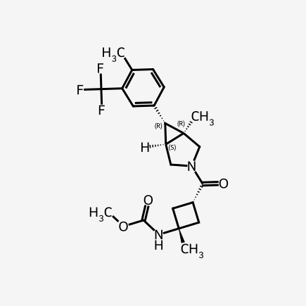 COC(=O)N[C@]1(C)C[C@H](C(=O)N2C[C@H]3[C@H](c4ccc(C)c(C(F)(F)F)c4)[C@@]3(C)C2)C1